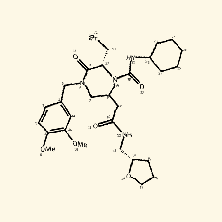 COc1ccc(CN2CC(CC(=O)NC[C@@H]3CCCO3)N(C(=O)NC3CCCCC3)[C@@H](CC(C)C)C2=O)cc1OC